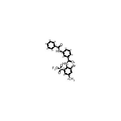 Cc1cc(Br)c(NC(=O)c2cccc(NC(=O)c3ccccc3)c2)c(S(=O)(=O)C(F)(F)F)c1